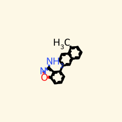 Cc1cccc2cc(-c3cccc4onc(N)c34)ccc12